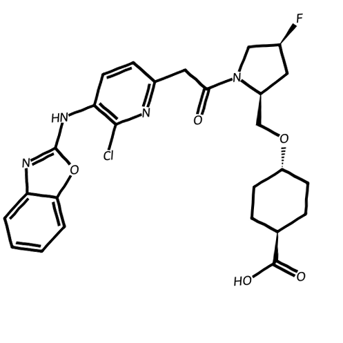 O=C(Cc1ccc(Nc2nc3ccccc3o2)c(Cl)n1)N1C[C@@H](F)C[C@H]1CO[C@H]1CC[C@H](C(=O)O)CC1